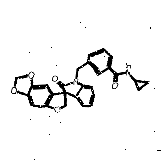 O=C(NC1CC1)c1cccc(CN2C(=O)C3(COc4cc5c(cc43)OCO5)c3ccccc32)c1